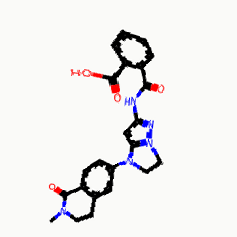 CN1CCc2cc(N3CCn4nc(NC(=O)c5ccccc5C(=O)O)cc43)ccc2C1=O